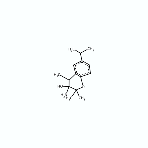 CC(C)c1ccc2c(c1)C(C)C(N)(O)C(C)(C)O2